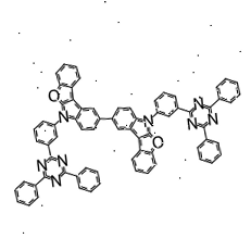 c1ccc(-c2nc(-c3ccccc3)nc(-c3cccc(-n4c5ccc(-c6ccc7c(c6)c6c8ccccc8oc6n7-c6cccc(-c7nc(-c8ccccc8)nc(-c8ccccc8)n7)c6)cc5c5c6ccccc6oc54)c3)n2)cc1